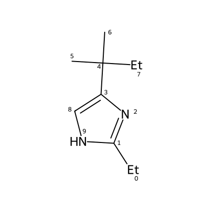 CCc1nc(C(C)(C)CC)c[nH]1